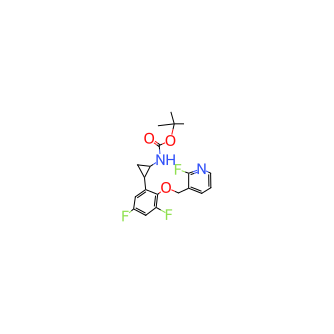 CC(C)(C)OC(=O)NC1CC1c1cc(F)cc(F)c1OCc1cccnc1F